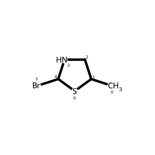 CC1CNC(Br)S1